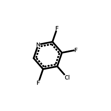 Fc1cnc(F)c(F)c1Cl